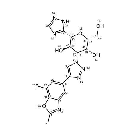 Cc1nc2cc(-c3cn([C@H]4[C@@H](O)[C@@H](CO)O[C@@H](c5ncn[nH]5)[C@@H]4O)nn3)cc(F)c2o1